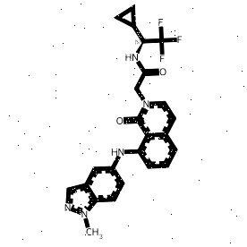 Cn1ncc2cc(Nc3cccc4ccn(CC(=O)N[C@@H](C5CC5)C(F)(F)F)c(=O)c34)ccc21